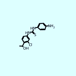 CC(O)c1ccc(NC(=S)Nc2ccc(N)cc2)cc1Cl